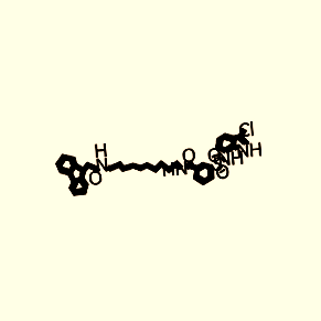 O=C(CC1c2ccccc2-c2ccccc21)NCCCCCCCCCCNC(=O)c1cccc(S(=O)(=O)Nc2cccc3c(Cl)c[nH]c23)c1